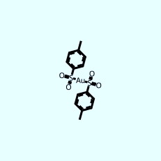 Cc1ccc([S](=O)(=O)[Au][S](=O)(=O)c2ccc(C)cc2)cc1